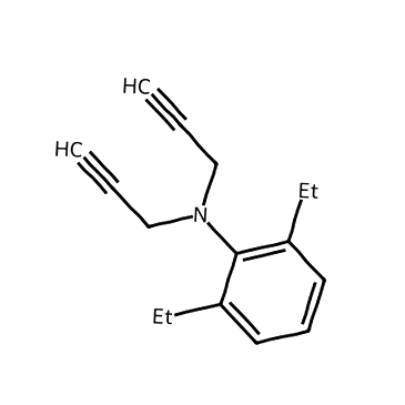 C#CCN(CC#C)c1c(CC)cccc1CC